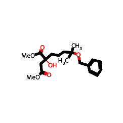 COC(=O)C[C@](O)(CCCC(C)(C)OCc1ccccc1)C(=O)OC